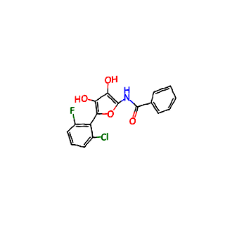 O=C(Nc1oc(-c2c(F)cccc2Cl)c(O)c1O)c1ccccc1